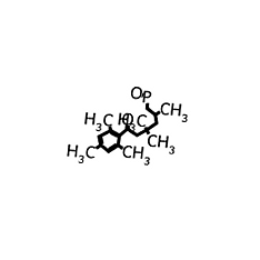 Cc1cc(C)c(C(=O)CC(C)(C)CC(C)CP=O)c(C)c1